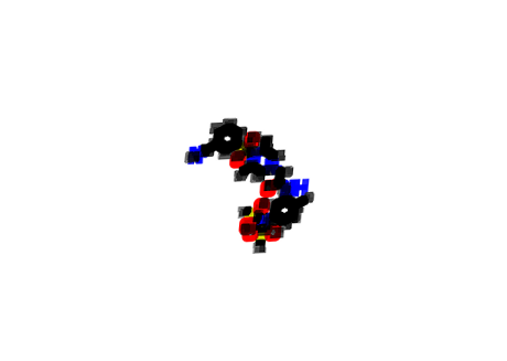 Cc1ccc(N(S(C)(=O)=O)S(C)(=O)=O)cc1NC(=O)CN1CC(C)N(S(=O)(=O)c2cccc(C#N)c2)C(C)C1